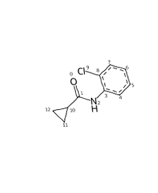 O=C(Nc1ccccc1Cl)C1CC1